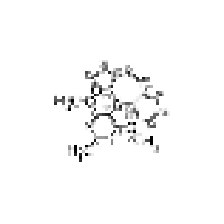 COc1cc(C)cc(OC)c1N1c2ccccc2C=Cc2ccoc21